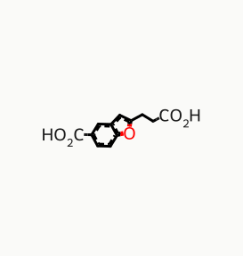 O=C(O)CCc1cc2cc(C(=O)O)ccc2o1